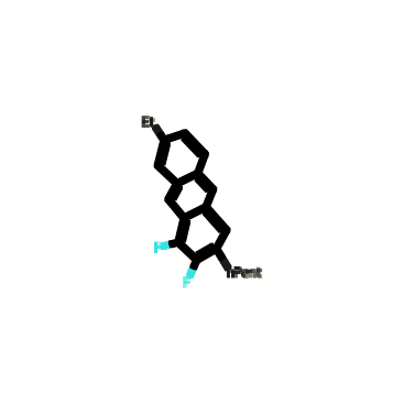 CCCCCc1cc2cc3ccc(CC)cc3cc2c(F)c1F